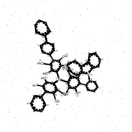 Oc1c(O)c(N(c2c(O)c(O)c(-c3ccc(-c4ccccc4)cc3)c(O)c2O)c2c(O)c(O)c(-c3ccccc3-n3c4ccccc4c4ccccc43)c(O)c2O)c(O)c(O)c1-c1ccccc1